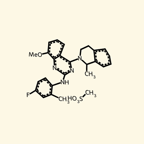 COc1cccc2c(N3CCc4ccccc4C3C)nc(Nc3ccc(F)cc3C)nc12.CS(=O)(=O)O